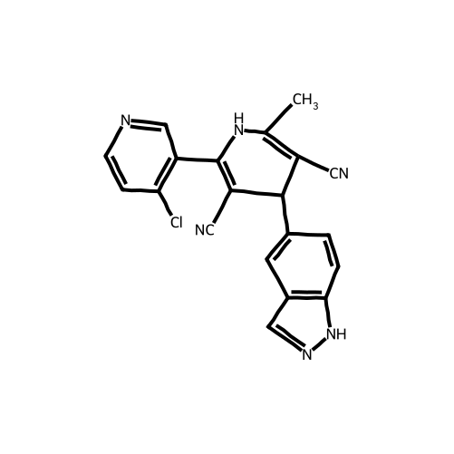 CC1=C(C#N)C(c2ccc3[nH]ncc3c2)C(C#N)=C(c2cnccc2Cl)N1